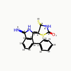 N=C1N/C(=C2/SC(=O)NC2=S)c2c1cccc2-c1ccccc1